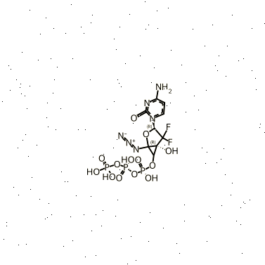 [N-]=[N+]=NC12O[C@@H](n3ccc(N)nc3=O)C(F)(F)[C@@]1(O)C2OP(=O)(O)OP(=O)(O)OP(=O)(O)O